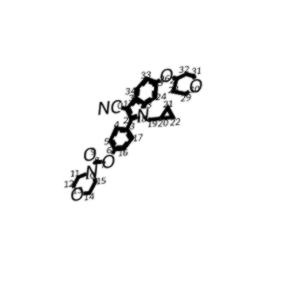 N#Cc1c(-c2ccc(OC(=O)N3CCOCC3)cc2)n(CC2CC2)c2cc(OC3CCOCC3)ccc12